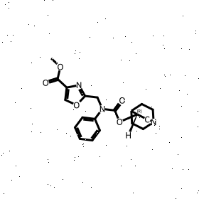 COC(=O)c1coc(CN(C(=O)O[C@H]2CN3CCC2CC3)c2ccccc2)n1